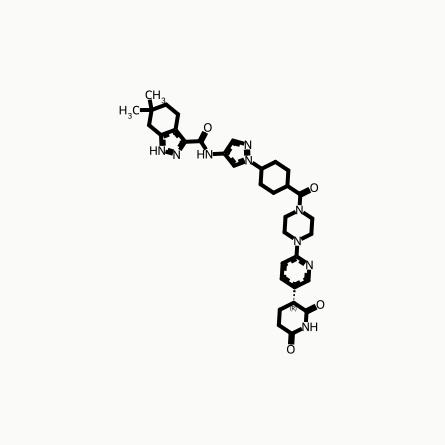 CC1(C)CCc2c(C(=O)Nc3cnn(C4CCC(C(=O)N5CCN(c6ccc([C@H]7CCC(=O)NC7=O)cn6)CC5)CC4)c3)n[nH]c2C1